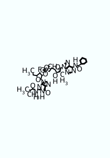 CCC1OC(n2cnc3c(=O)[nH]c(NC(=O)C(C)C)nc32)C(OP(=O)(CCC2OC(n3cnc4c(NC(=O)c5ccccc5)ncnc43)C(C)C2O)OC)C1F